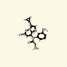 CC(C)(C)CC(=O)N(c1cccc(P)c1)c1cc(Cl)nn2c(C3CC3)cnc12